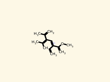 C=C/C(=C\C(C(=C)C)=C(C)C)C(=C)OC